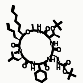 C=CCCCC[C@H]1O[C@@H](C)NC(=O)[C@H]([C@H](C)OC(C)(C)C)NC(=O)[C@H](CNC(=O)OC(C)(C)C)NC(=O)C(C2CCCCC2)NC(=O)[C@H](CC(C)C)N(C)C(=O)[C@@H]1CCC=C